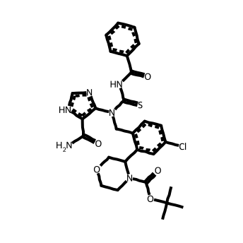 CC(C)(C)OC(=O)N1CCOCC1c1cc(Cl)ccc1CN(C(=S)NC(=O)c1ccccc1)c1nc[nH]c1C(N)=O